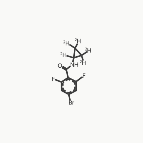 [2H]C1([2H])C([2H])([2H])C1([2H])NC(=O)c1c(F)cc(Br)cc1F